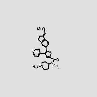 CON=C1CCc2cc(-c3sc(C(=O)N(C)C4CCN(C)CC4)cc3-c3ccncc3)ccc21